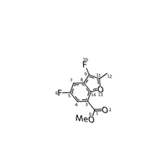 COC(=O)c1cc(F)cc2c(F)c(C)oc12